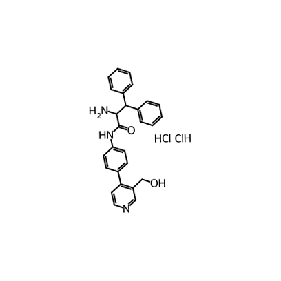 Cl.Cl.NC(C(=O)Nc1ccc(-c2ccncc2CO)cc1)C(c1ccccc1)c1ccccc1